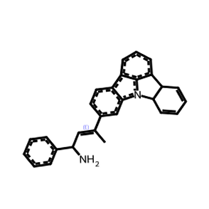 C/C(=C\C(N)c1ccccc1)c1ccc2c3cccc4c3n(c2c1)C1C=CC=CC41